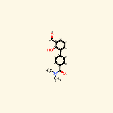 CN(C)C(=O)c1ccc(-c2cccc(C=O)c2O)cc1